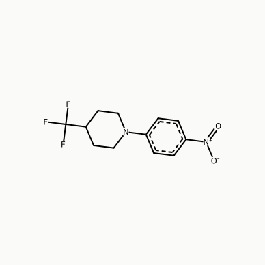 O=[N+]([O-])c1ccc(N2CCC(C(F)(F)F)CC2)cc1